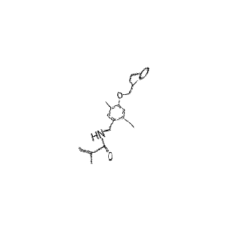 C=C(C)C(=O)NCc1cc(C)c(OCC2CO2)cc1C